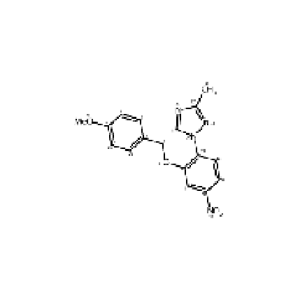 COc1ccc(COc2cc([N+](=O)[O-])ccc2-n2cnc(C)n2)cc1